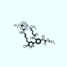 C=CCCC(=O)Nc1cc(NC(=O)OC)ccc1-c1cc(CCC=CNC(=O)OC(C)(C)C)c(Cl)nn1